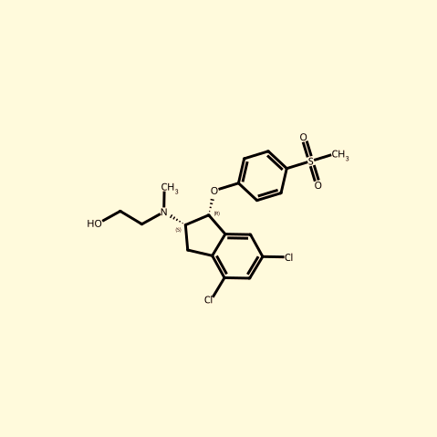 CN(CCO)[C@H]1Cc2c(Cl)cc(Cl)cc2[C@H]1Oc1ccc(S(C)(=O)=O)cc1